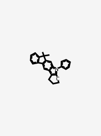 CC1(C)c2ccccc2-c2cc3c4c(n(-c5ccccc5)c3cc21)CCCC4